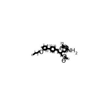 CCCCOc1cccc(-c2ccc(CCC(COC(C)=O)C(CC(N)=O)OC(C)=O)cc2)c1